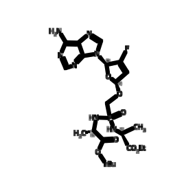 CCCCOC(=O)[C@H](C)NP(=O)(CO[C@@H]1C=C(F)[C@H](n2cnc3c(N)ncnc32)O1)N[C@@H](C)C(=O)OCC